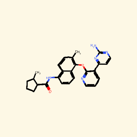 Cc1ccc2c(NC(=O)C3CCCC3C)cccc2c1Oc1ncccc1-c1ccnc(N)n1